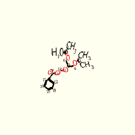 CC(C)OCC(COC(C)C)OCOC(=O)c1ccccc1